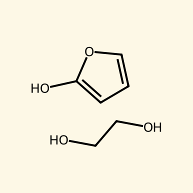 OCCO.Oc1ccco1